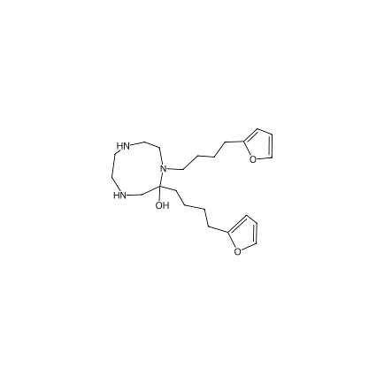 OC1(CCCCc2ccco2)CNCCNCCN1CCCCc1ccco1